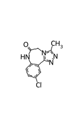 Cc1nnc2n1CC(=O)Nc1ccc(Cl)cc1-2